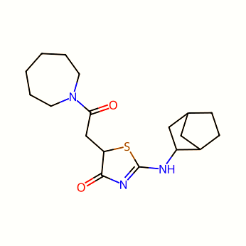 O=C1N=C(NC2CC3CCC2C3)SC1CC(=O)N1CCCCCC1